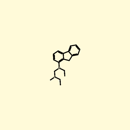 CCN(C)CN(CC)c1cccc2c1Cc1ccccc1-2